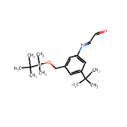 CC(C)(C)c1cc(CO[Si](C)(C)C(C)(C)C)cc(N=CC=O)c1